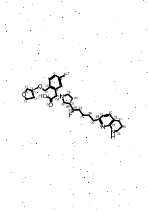 O=C(O)[C@H](c1cc(F)ccc1CO[C@H]1CCOC1)N1CC[C@@H]([C@H](F)CCCCc2ccc3c(n2)NCCC3)C1